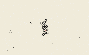 O=C1C(=Cc2cc3c(s2)-c2ccc(N(c4ccccc4)c4ccccc4)cc2C32c3ccccc3-c3cccnc32)C(=O)c2cc3ccccc3cc21